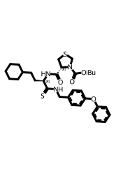 CC(C)COC(=O)N1CSC[C@H]1C(=O)N[C@H](CCC1CCCCC1)C(=S)NCc1ccc(Oc2ccccc2)cc1